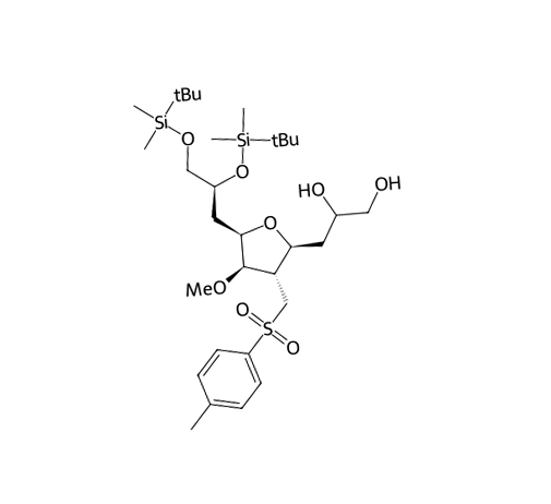 CO[C@@H]1[C@@H](CS(=O)(=O)c2ccc(C)cc2)[C@H](CC(O)CO)O[C@@H]1C[C@@H](CO[Si](C)(C)C(C)(C)C)O[Si](C)(C)C(C)(C)C